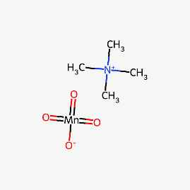 C[N+](C)(C)C.[O]=[Mn](=[O])(=[O])[O-]